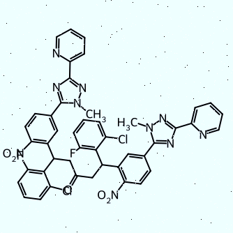 Cn1nc(-c2ccccn2)nc1-c1ccc([N+](=O)[O-])c(C(CC(=O)CC(c2cc(-c3nc(-c4ccccn4)nn3C)ccc2[N+](=O)[O-])c2c(F)cccc2Cl)c2c(F)cccc2Cl)c1